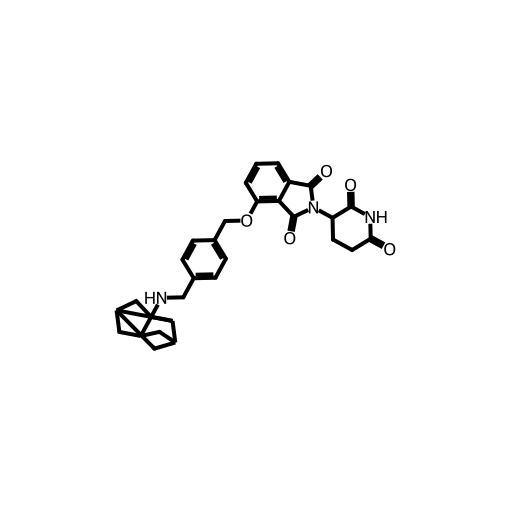 O=C1CCC(N2C(=O)c3cccc(OCc4ccc(CNC56CC78CC(CC5C7)C86)cc4)c3C2=O)C(=O)N1